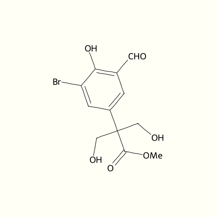 COC(=O)C(CO)(CO)c1cc(Br)c(O)c(C=O)c1